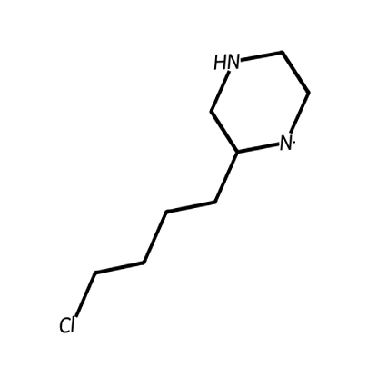 ClCCCCC1CNCC[N]1